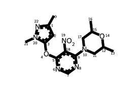 Cc1cc(Oc2ncnc(N3CC(C)OC(C)C3)c2[N+](=O)[O-])n(C)n1